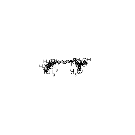 COc1cc(-c2scnc2C)ccc1[C@H](C)NC(=O)[C@@H]1CCCN1C(=O)C(c1cc(OCCOCCOCCOCCOCCOCCN(C)C(=O)CCNc2nc(N3CCN(C(C)=O)CC3)c3cc(Cl)c(-c4cc(O)cc5ccccc45)c(F)c3n2)no1)C(C)C